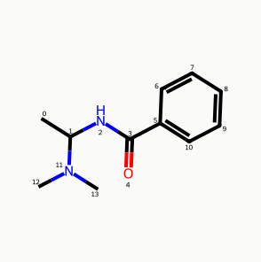 CC(NC(=O)c1[c]cccc1)N(C)C